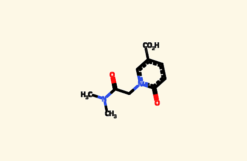 CN(C)C(=O)Cn1cc(C(=O)O)ccc1=O